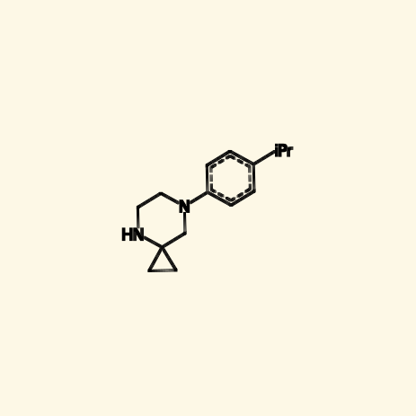 CC(C)c1ccc(N2CCNC3(CC3)C2)cc1